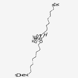 CCCCCCCCCCCCCCCCCCOCCCCCCCCCCCCCCCCCC.N.O=S(=O)(O)O